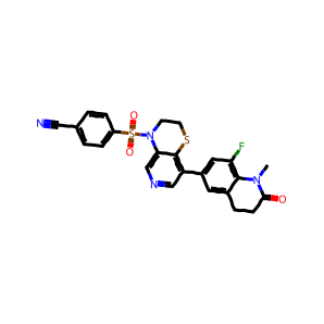 CN1C(=O)CCc2cc(-c3cncc4c3SCCN4S(=O)(=O)c3ccc(C#N)cc3)cc(F)c21